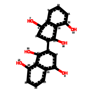 Oc1cc(-c2cc(O)c3cccc(O)c3c2O)c(O)c2c(O)cccc12